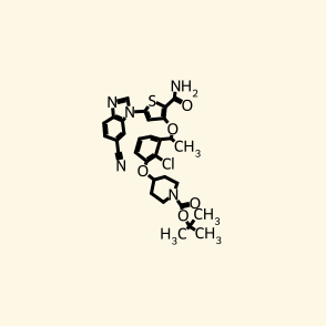 CC(Oc1cc(-n2cnc3ccc(C#N)cc32)sc1C(N)=O)c1cccc(OC2CCN(C(=O)OC(C)(C)C)CC2)c1Cl